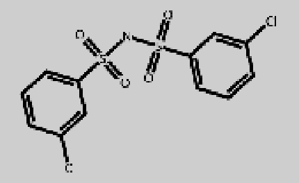 O=S(=O)([N]S(=O)(=O)c1cccc(Cl)c1)c1cccc(Cl)c1